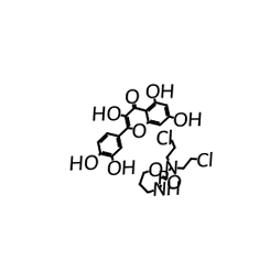 O=P1(N(CCCl)CCCl)NCCCO1.O=c1c(O)c(-c2ccc(O)c(O)c2)oc2cc(O)cc(O)c12